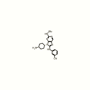 CC(C)(C)Nc1ncc2nc(Nc3cccc(C#N)c3)n([C@H]3CC[C@H](N)CC3)c2n1